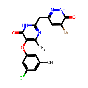 N#Cc1cc(Cl)cc(Oc2c(C(F)(F)F)nc(Cc3cc(Br)c(=O)[nH]n3)[nH]c2=O)c1